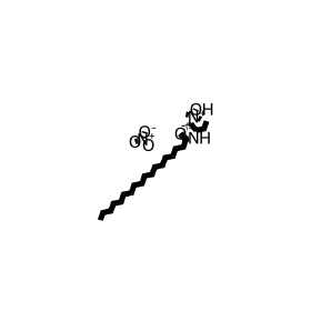 CCCCCCCCCCCCCCCCCC(=O)NC(CC)[C@H](C)[N+](C)(C)O.O=[N+]([O-])[O-]